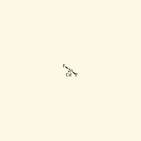 [Cd].[F][Zn][F]